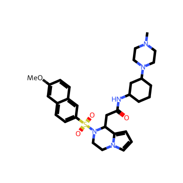 COc1ccc2cc(S(=O)(=O)N3CCn4cccc4C3CC(=O)NC3CCCC(N4CCN(C)CC4)C3)ccc2c1